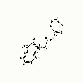 C(=C\c1ccccc1)/C[n+]1csc2ccccc21